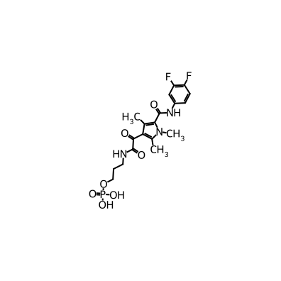 Cc1c(C(=O)C(=O)NCCCOP(=O)(O)O)c(C)n(C)c1C(=O)Nc1ccc(F)c(F)c1